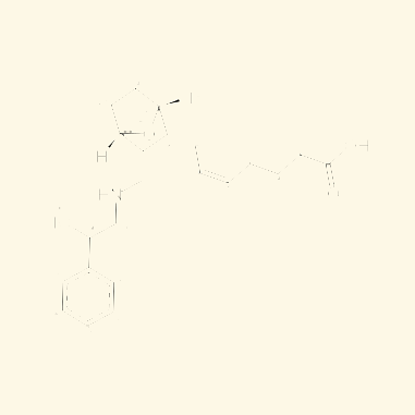 O=C(O)CCC/C=C\C[C@@H]1[C@H](CNCC(O)c2ccccc2)[C@@H]2CC[C@H]1O2